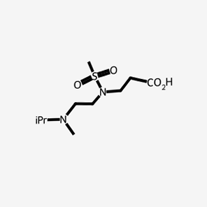 CC(C)N(C)CCN(CCC(=O)O)S(C)(=O)=O